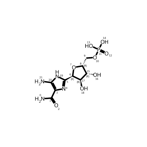 NC(=O)c1nc([C@H]2O[C@H](COP(=O)(O)O)[C@H](O)[C@H]2O)[nH]c1N